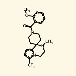 CN1CCn2c(C(F)(F)F)ccc2C12CCN(C(=O)c1ccccc1OC(F)(F)F)CC2